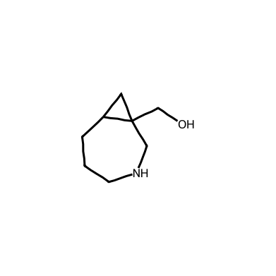 OCC12CNCCCC1C2